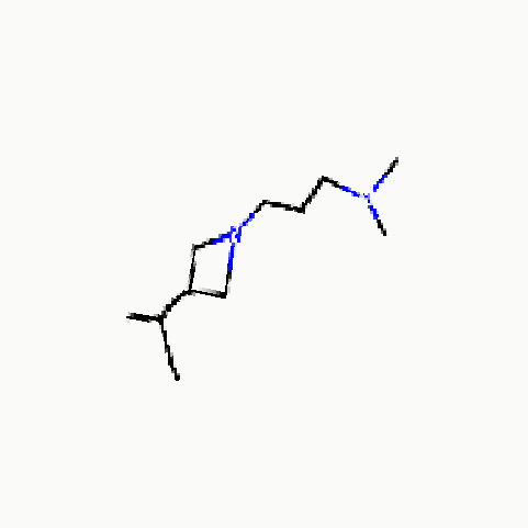 CC(C)C1CN(CCCN(C)C)C1